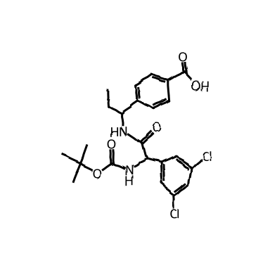 CCC(NC(=O)C(NC(=O)OC(C)(C)C)c1cc(Cl)cc(Cl)c1)c1ccc(C(=O)O)cc1